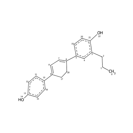 CCCc1cc(C2=CC=C(c3ccc(O)cc3)CC2)ccc1O